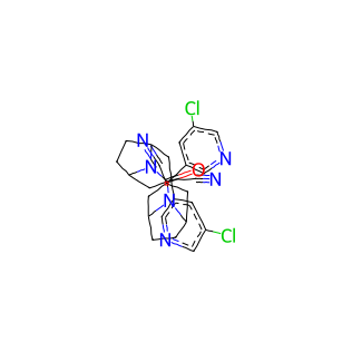 N#CC1(c2cncc(Cl)c2)CC2CCC(C1)N2C(=O)N1C2CCC1CC(C#N)(c1cncc(Cl)c1)C2